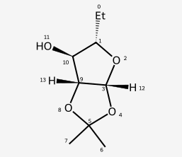 CC[C@@H]1O[C@@H]2OC(C)(C)O[C@@H]2[C@H]1O